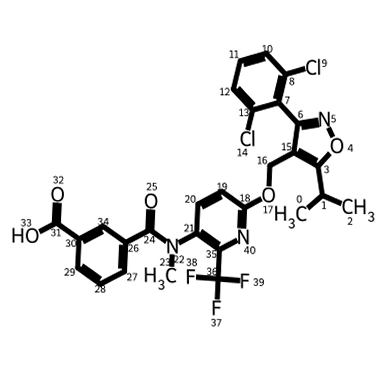 CC(C)c1onc(-c2c(Cl)cccc2Cl)c1COc1ccc(N(C)C(=O)c2cccc(C(=O)O)c2)c(C(F)(F)F)n1